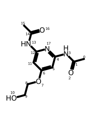 CC(=O)Nc1cc(OCCO)cc(NC(C)=O)n1